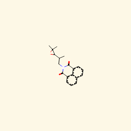 CC(CN1C(=O)c2cccc3cccc(c23)C1=O)C1OC1(C)C